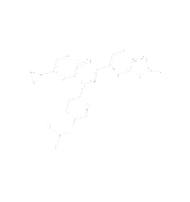 Cn1cc2cc(-c3nc4ccc(C5CC5)cc4n(-c4ccc(OC(F)F)cc4)c3=O)ccc2n1